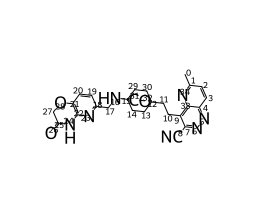 Cc1ccc2nnc(C#N)c(CCC34CCC(NCc5ccc6c(n5)NC(=O)CO6)(CC3)CO4)c2n1